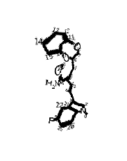 Cn1cc(CCC(CC2COc3ccccc3O2)C(N)=O)c2cc(F)ccc21